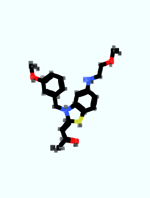 COCCNc1ccc2c(c1)N(Cc1cccc(OC)c1)/C(=C/C(C)=O)S2